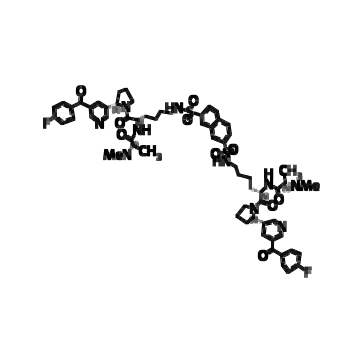 CN[C@@H](C)C(=O)N[C@@H](CCCCNS(=O)(=O)c1ccc2ccc(S(=O)(=O)NCCCC[C@H](NC(=O)[C@H](C)NC)C(=O)N3CCC[C@H]3c3cncc(C(=O)c4ccc(F)cc4)c3)cc2c1)C(=O)N1CCC[C@H]1c1cncc(C(=O)c2ccc(F)cc2)c1